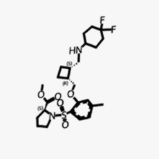 COC(=O)[C@@H]1CCCN1S(=O)(=O)c1ccc(C)cc1OC[C@@H]1CC[C@@H]1CNC1CCC(F)(F)CC1